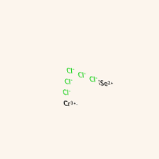 [Cl-].[Cl-].[Cl-].[Cl-].[Cl-].[Cr+3].[Se+2]